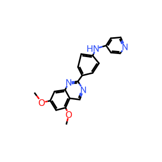 COc1cc(OC)c2cnc(-c3ccc(Nc4ccncc4)cc3)nc2c1